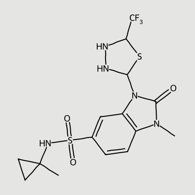 Cn1c(=O)n(C2NNC(C(F)(F)F)S2)c2cc(S(=O)(=O)NC3(C)CC3)ccc21